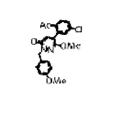 COc1ccc(Cn2nc(OC)c(-c3cc(Cl)ccc3C(C)=O)cc2=O)cc1